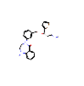 CNCC[C@@H](OCc1cccc(N2CCN(C)c3ccccc3C2=O)c1)c1cccs1